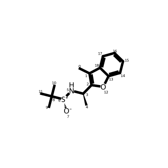 Cc1c([C@@H](C)N[S@+]([O-])C(C)(C)C)oc2ccccc12